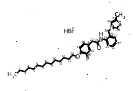 Br.CCCCCCCCCCCCCCOc1ccc(CC(=O)Nc2ccccc2CN2C=C(C)SC2)cc1F